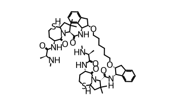 CN[C@@H](C)C(=O)N[C@H]1CCS[C@H]2CC(C)(C)[C@@H](C(=O)N[C@H]3c4ccccc4C[C@H]3OCCCCCCO[C@@H]3Cc4ccccc4[C@@H]3NC(=O)[C@H]3N4C(=O)[C@@H](NC(=O)[C@H](C)NC)CCS[C@H]4CC3(C)C)N2C1=O